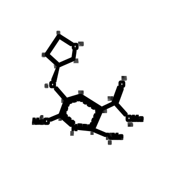 CNc1nc(OC)c(O[C@H]2CCOC2)cc1C(=O)OC